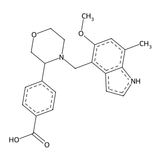 COc1cc(C)c2[nH]ccc2c1CN1CCOCC1c1ccc(C(=O)O)cc1